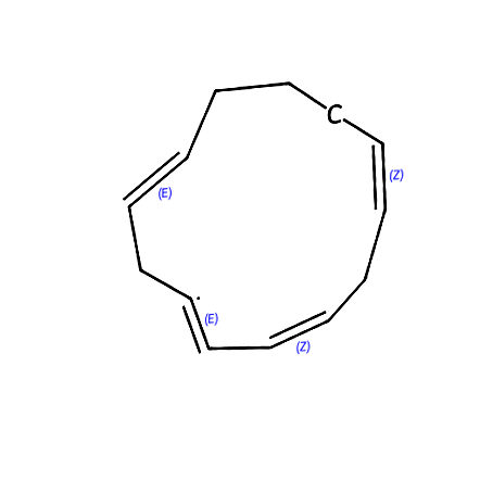 [C]1=C/C=C\C/C=C\CCC/C=C/C/1